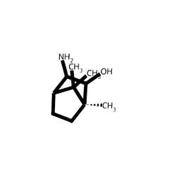 CC1(C)C2CC[C@]1(C)C(O)C2N